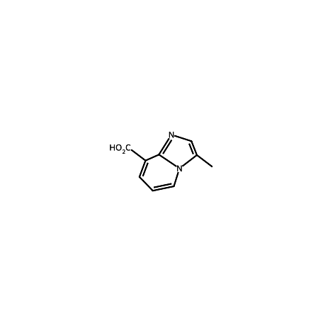 Cc1cnc2c(C(=O)O)cccn12